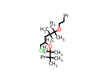 CC(C)CCOC(C)(C)C(C)(C)CC(CCl)OC(C)(C)C(C)(C)C(C)C